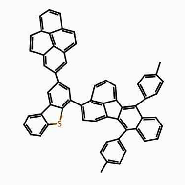 Cc1ccc(-c2c3c(c(-c4ccc(C)cc4)c4ccccc24)-c2ccc(-c4cc(-c5cc6ccc7cccc8ccc(c5)c6c78)cc5c4sc4ccccc45)c4cccc-3c24)cc1